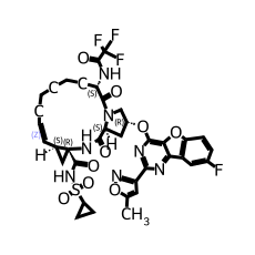 Cc1cc(-c2nc(O[C@@H]3C[C@H]4C(=O)N[C@]5(C(=O)NS(=O)(=O)C6CC6)C[C@H]5/C=C\CCCCC[C@H](NC(=O)C(F)(F)F)C(=O)N4C3)c3oc4ccc(F)cc4c3n2)no1